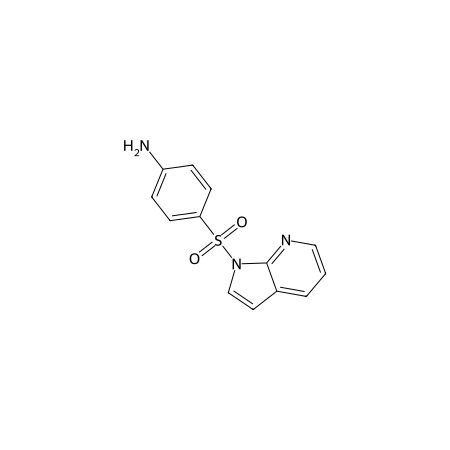 Nc1ccc(S(=O)(=O)n2ccc3cccnc32)cc1